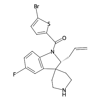 C=CC[C@H]1N(C(=O)c2ccc(Br)s2)c2ccc(F)cc2C12CCNCC2